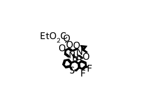 CCOC(=O)OCOc1c2n(ccc1=O)N([C@@H]1c3ccccc3SCc3c1ccc(F)c3F)[C@@H]1COCC3(CC3)N1C2=O